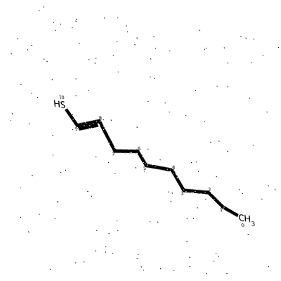 CCCCCCCCC=CS